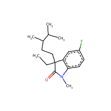 CCC1(CCC(C)C(C)C)C(=O)N(C)c2ccc(F)cc21